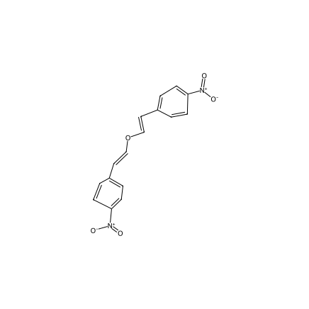 O=[N+]([O-])c1ccc(C=COC=Cc2ccc([N+](=O)[O-])cc2)cc1